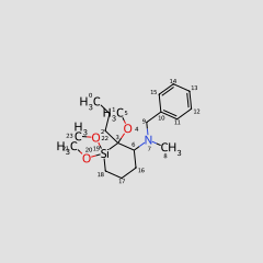 CCCC1(OC)C(N(C)Cc2ccccc2)CCC[Si]1(OC)OC